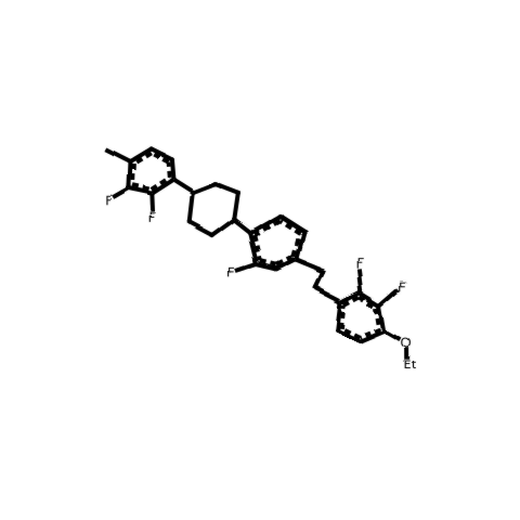 CCOc1ccc(CCc2ccc(C3CCC(c4ccc(C)c(F)c4F)CC3)c(F)c2)c(F)c1F